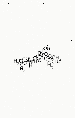 CC(C)(C)OC(=O)Nc1ccn([C@@H]2O[C@H](CO)[C@@H](OC(=O)OC(C)(C)C)C2(F)F)c(=O)n1